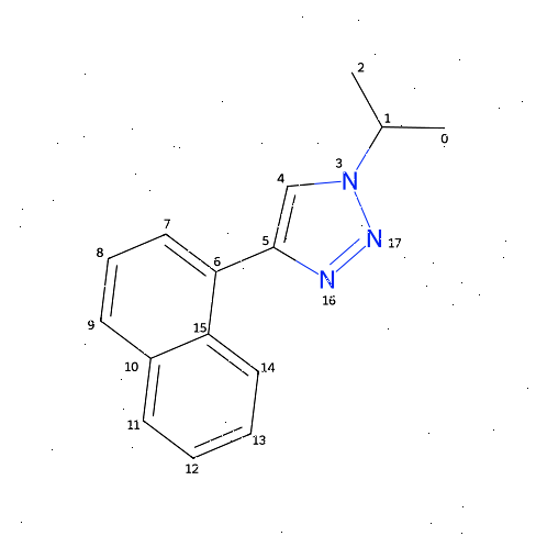 CC(C)n1cc(-c2cccc3ccccc23)nn1